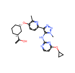 C=C(O)[C@H]1CCC[C@H](Oc2ccc(-c3nnn(C)c3Nc3nccc(OC4CC4)n3)nc2C)C1